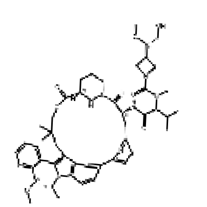 CCn1c(-c2cccnc2[C@H](C)OC)c2c3cc(ccc31)-c1csc(n1)C[C@H](NC(=O)C(C(C)C)N(C)C(=O)N1CC([C@@H](CO)OC)C1)C(=O)N1CCC[C@H](N1)C(=O)OCC(C)(C)C2